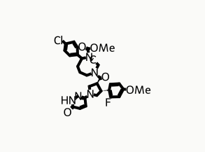 COC(=O)N1CCN(C(=O)[C@@H]2CN(c3ccc(=O)[nH]n3)C[C@H]2c2ccc(OC)cc2F)CCCC1c1ccc(Cl)cc1